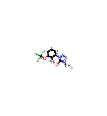 [3H]c1c(OC(F)(F)F)cccc1-n1nnn(C)c1=O